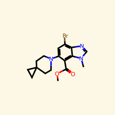 COC(=O)c1c(N2CCC3(CC2)CC3)cc(Br)c2ncn(C)c12